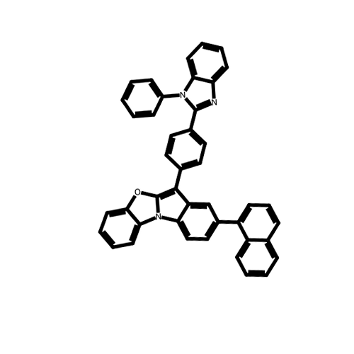 c1ccc(-n2c(-c3ccc(-c4c5cc(-c6cccc7ccccc67)ccc5n5c4oc4ccccc45)cc3)nc3ccccc32)cc1